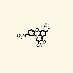 CCOc1c(F)cc2c(=O)c(C#N)cn3c2c1Oc1ccc([N+](=O)[O-])cc1-3